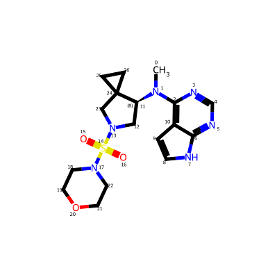 CN(c1ncnc2[nH]ccc12)[C@H]1CN(S(=O)(=O)N2CCOCC2)CC12CC2